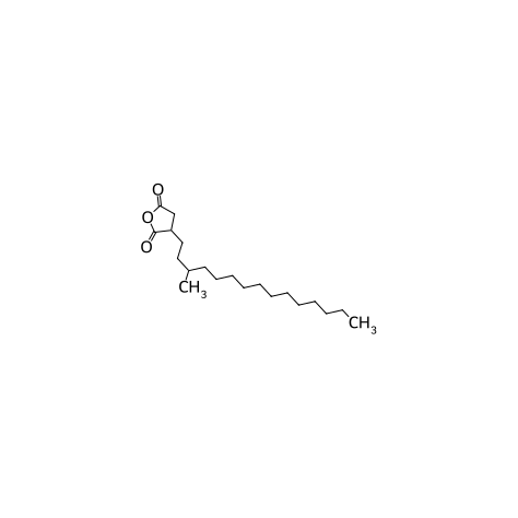 CCCCCCCCCCCCC(C)CCC1CC(=O)OC1=O